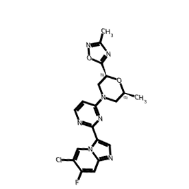 Cc1noc([C@@H]2CN(c3ccnc(-c4cnc5cc(F)c(Cl)cn45)n3)C[C@H](C)O2)n1